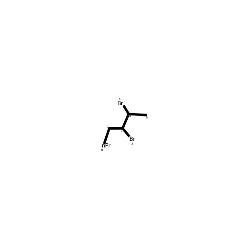 CCCCC(Br)[C](C)Br